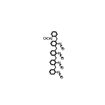 O=C=Nc1ccccc1Cc1cccc(Cc2cccc(Cc3cccc(Cc4ccccc4N=C=O)c3N=C=O)c2N=C=O)c1N=C=O